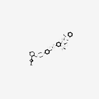 C[C@H](C[C@H](Sc1ccccc1)N(C)CCO)Nc1ccc(S(=O)(=O)NC(=O)c2ccc(N3CCN(CC4=C(C56CC(C(F)F)(C5)C6)CC(C)(C)CC4)CC3)cc2)cc1S(=O)(=O)C(F)(F)F